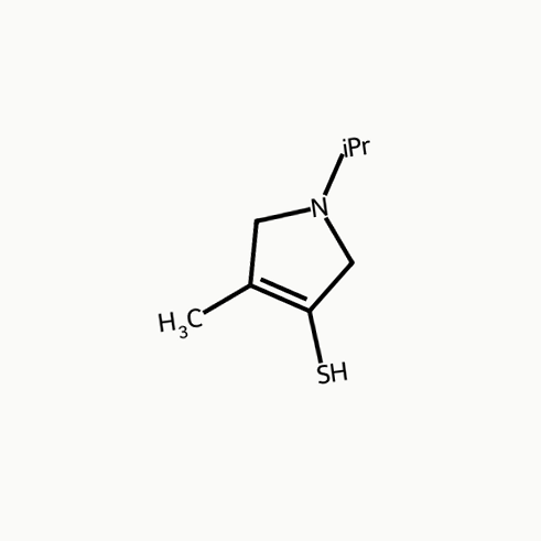 CC1=C(S)CN(C(C)C)C1